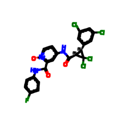 O=C(Nc1ccc(F)cc1)c1cc(NC(=O)[C@H]2[C@H](c3cc(Cl)cc(Cl)c3)C2(Cl)Cl)cc[n+]1[O-]